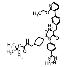 CCOc1ncccc1-c1ccc(C[C@H](N)C(=O)N(c2ccc(-c3nn[nH]n3)cc2)C(=O)[C@H]2CC[C@H](CNC(=O)OC(C)(C)C)CC2)cc1